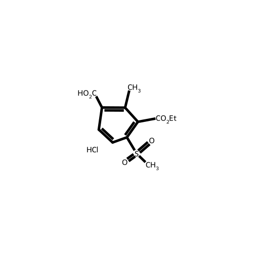 CCOC(=O)c1c(S(C)(=O)=O)ccc(C(=O)O)c1C.Cl